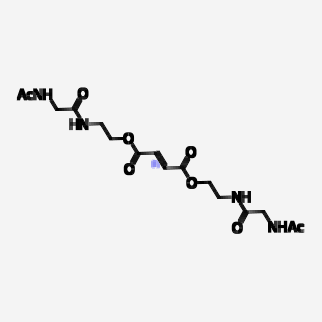 CC(=O)NCC(=O)NCCOC(=O)/C=C/C(=O)OCCNC(=O)CNC(C)=O